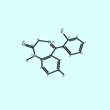 [CH2]c1ccc2c(c1)C(c1ccccc1F)=NCC(=O)N2C